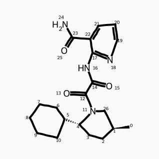 C[C@H]1CC[C@H](C2CCCCC2)N(C(=O)C(=O)Nc2ncccc2C(N)=O)C1